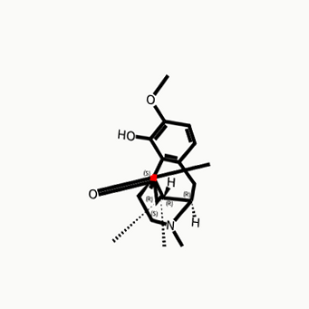 COc1ccc2c(c1O)[C@]13CCN(C)[C@H](C2)[C@@H]1[C@@H](C)[C@H](C)C(=O)C3